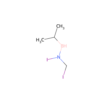 CC(C)BN(I)CI